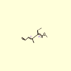 C=C/C=C(C)/C(CC)=N/OC